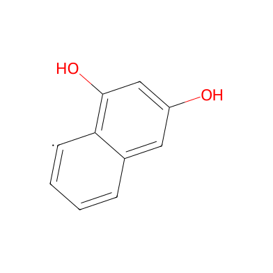 Oc1cc(O)c2[c]cccc2c1